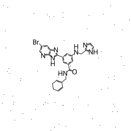 O=C(NCC1=CCCC=C1)c1cc(NCc2ncc[nH]2)cc(-c2nc3cc(Br)cnc3[nH]2)c1